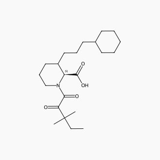 CCC(C)(C)C(=O)C(=O)N1CCCC(CCCC2CCCCC2)[C@H]1C(=O)O